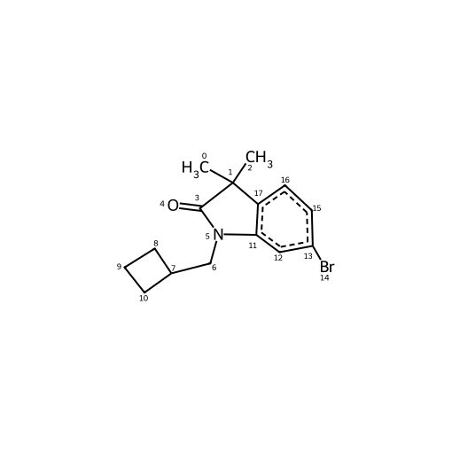 CC1(C)C(=O)N(CC2CCC2)c2cc(Br)ccc21